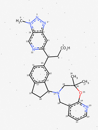 Cn1nnc2cc(C(CC(=O)O)c3ccc4c(c3)C(N3Cc5cccnc5OC(C)(C)C3)CC4)ncc21